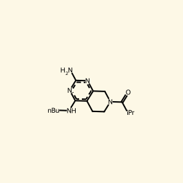 CCCCNc1nc(N)nc2c1CCN(C(=O)C(C)C)C2